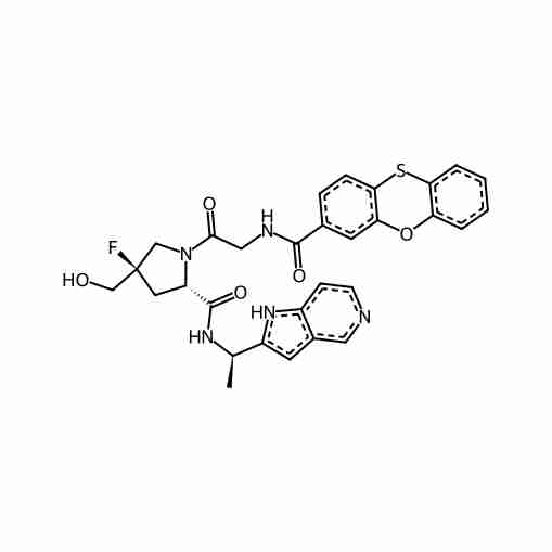 C[C@@H](NC(=O)[C@@H]1C[C@](F)(CO)CN1C(=O)CNC(=O)c1ccc2c(c1)Oc1ccccc1S2)c1cc2cnccc2[nH]1